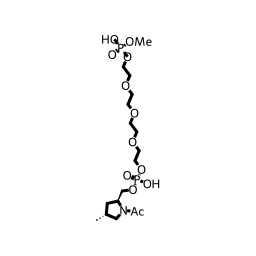 COP(=O)(O)OCCOCCOCCOCCOP(=O)(O)OC[C@@H]1C[C@@H](C)CN1C(C)=O